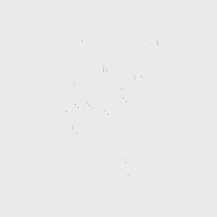 C#Cc1c(F)ccc2cc(O)cc(-c3ncc4c(N5C[C@H]6CC[C@@H](C5)N6)nc(OCC56CCCC5N(C)CC6)nc4c3F)c12